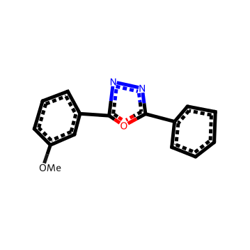 COc1cccc(-c2nnc(-c3ccccc3)o2)c1